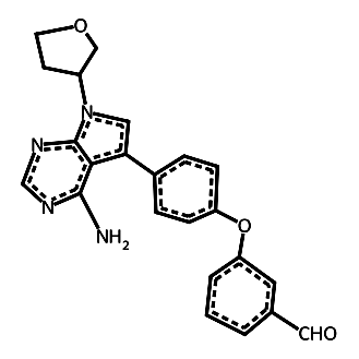 Nc1ncnc2c1c(-c1ccc(Oc3cccc(C=O)c3)cc1)cn2C1CCOC1